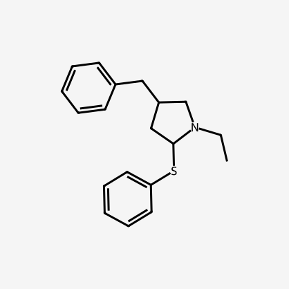 CCN1CC(Cc2ccccc2)CC1Sc1ccccc1